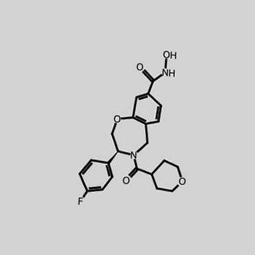 O=C(NO)c1ccc2c(c1)OC[C@H](c1ccc(F)cc1)N(C(=O)C1CCOCC1)C2